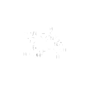 Cc1cc(-c2nn(C3CCCCO3)c3ncc(B4OC(C)(C)C(C)(C)O4)cc23)ccc1[C@@H](C)NC(=O)c1noc(C(C)(C)C)n1